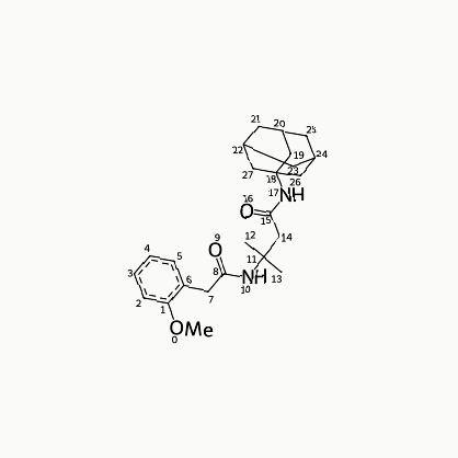 COc1ccccc1CC(=O)NC(C)(C)CC(=O)NC12CC3CC(CC(C3)C1)C2